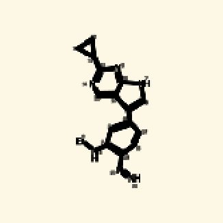 CCNc1cc(-c2c[nH]c3nc(C4CC4)ncc23)ccc1N=N